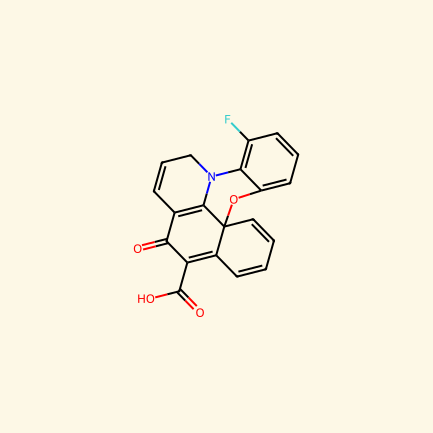 O=C(O)C1=C2C=CC=CC23Oc2cccc(F)c2N2CC=CC(=C23)C1=O